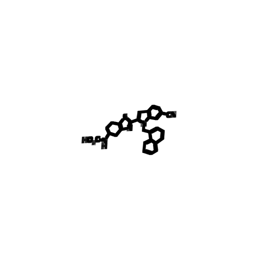 N#Cc1ccc2cc(-c3nc4c(s3)CCC(NC(=O)O)C4)n(Cc3cccc4ccccc34)c2c1